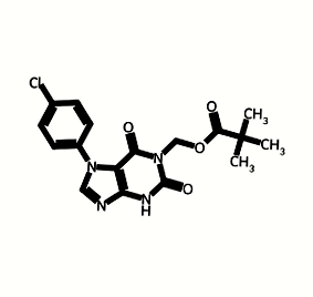 CC(C)(C)C(=O)OCn1c(=O)[nH]c2ncn(-c3ccc(Cl)cc3)c2c1=O